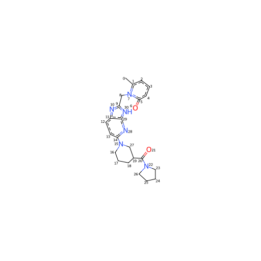 Cc1cccc(=O)n1Cc1nc2ccc(N3CCCC(C(=O)N4CCCC4)C3)nc2[nH]1